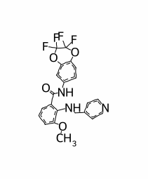 COc1cccc(C(=O)Nc2ccc3c(c2)OC(F)(F)C(F)(F)O3)c1NCc1ccncc1